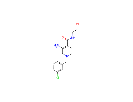 NC1=C(C(=O)NCCO)CCN(Cc2cccc(Cl)c2)C1